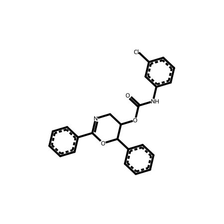 O=C(Nc1cccc(Cl)c1)OC1CN=C(c2ccccc2)OC1c1ccccc1